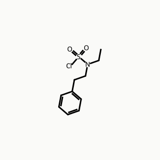 CCN(CCc1ccccc1)S(=O)(=O)Cl